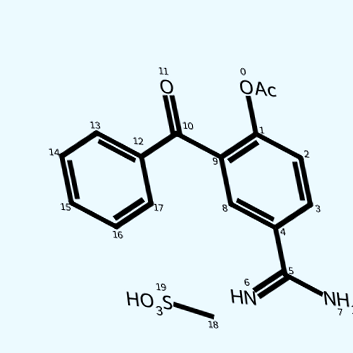 CC(=O)Oc1ccc(C(=N)N)cc1C(=O)c1ccccc1.CS(=O)(=O)O